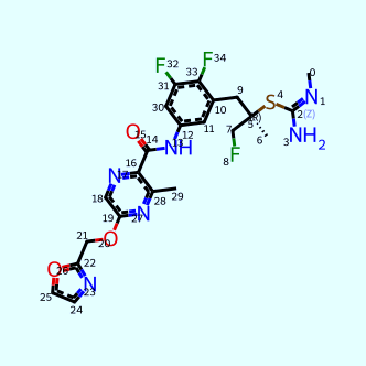 C/N=C(/N)S[C@@](C)(CF)Cc1cc(NC(=O)c2ncc(OCc3ncco3)nc2C)cc(F)c1F